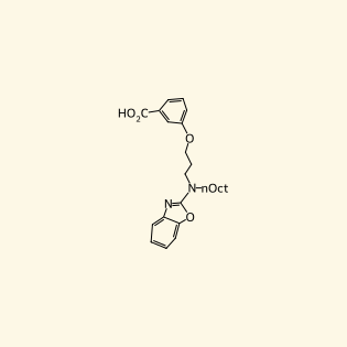 CCCCCCCCN(CCCOc1cccc(C(=O)O)c1)c1nc2ccccc2o1